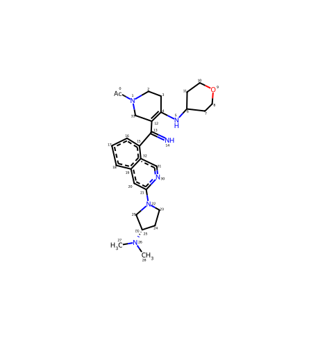 CC(=O)N1CCC(NC2CCOCC2)=C(C(=N)c2cccc3cc(N4CC[C@H](N(C)C)C4)ncc23)C1